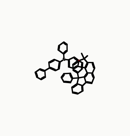 CC1(C)c2cc(N(c3ccccc3)c3ccc(-c4ccccc4)cc3)ccc2-c2c1ccc1ccc3c(c21)C(c1ccccc1)(c1ccccc1)c1ccccc1-3